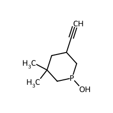 C#CC1CP(O)CC(C)(C)C1